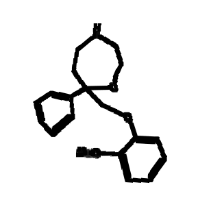 COc1ccccc1OCC1(c2ccccc2)CCNCCO1